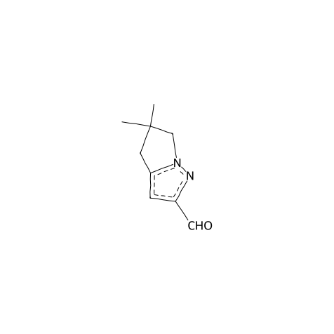 CC1(C)Cc2cc(C=O)nn2C1